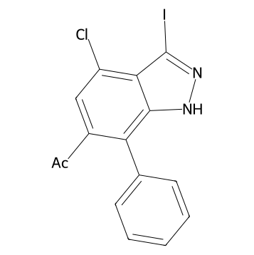 CC(=O)c1cc(Cl)c2c(I)n[nH]c2c1-c1ccccc1